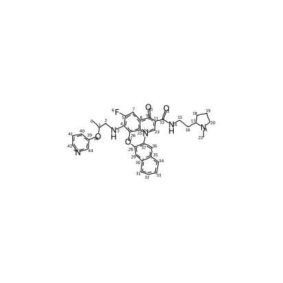 CC(CNc1c(F)cc2c(=O)c(C(=O)NCCC3CCCN3C)cn3c2c1Oc1cc2ccccc2cc1-3)Oc1cccnc1